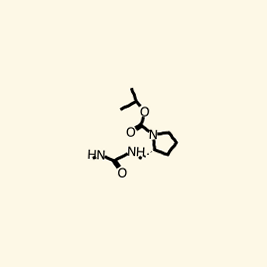 CNC(=O)NC[C@H]1CCCN1C(=O)OC(C)C